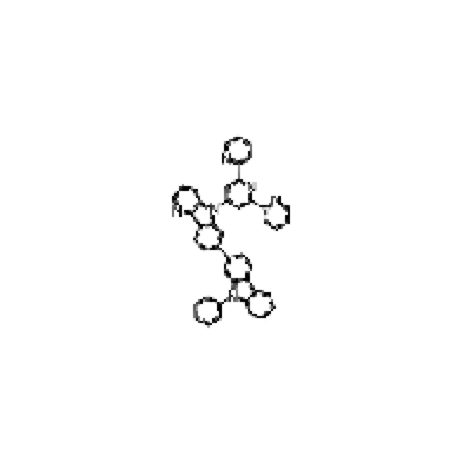 c1ccc(-n2c3ccccc3c3ccc(-c4ccc5c6ncccc6n(-c6cc(-c7ccccn7)nc(-c7ccccn7)c6)c5c4)cc32)cc1